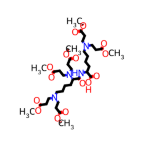 COC(=O)CCN(CCCCC(NC(=O)C(CCCCN(CCC(=O)OC)CCC(=O)OC)N(CCC(=O)OC)CCC(=O)OC)C(=O)O)CCC(=O)OC